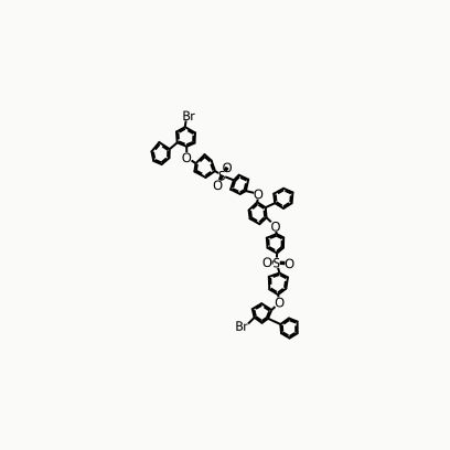 O=S(=O)(c1ccc(Oc2ccc(Br)cc2-c2ccccc2)cc1)c1ccc(Oc2cccc(Oc3ccc(S(=O)(=O)c4ccc(Oc5ccc(Br)cc5-c5ccccc5)cc4)cc3)c2-c2ccccc2)cc1